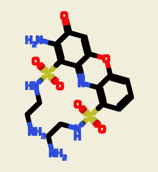 NCCNS(=O)(=O)c1c2nc3c(S(=O)(=O)NCCN)cccc3oc-2cc(=O)c1N